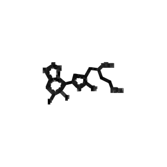 CCCCCCCCCCCCC(CCCCCCCCCC)Cc1cc(-c2c(F)c(F)cc3nsnc23)sc1Br